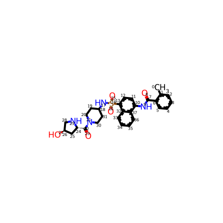 Cc1ccccc1C(=O)Nc1ccc(S(=O)(=O)NC2CCN(C(=O)[C@@H]3C[C@@H](O)CN3)CC2)c2ccccc12